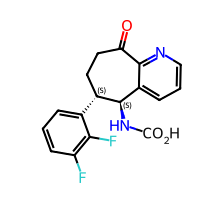 O=C(O)N[C@@H]1c2cccnc2C(=O)CC[C@H]1c1cccc(F)c1F